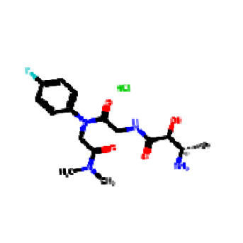 CCC[C@H](N)C(O)C(=O)NCC(=O)N(CC(=O)N(C)C)c1ccc(F)cc1.Cl